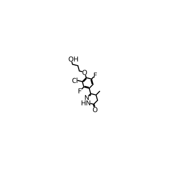 CC1CC(=O)NN=C1c1cc(F)c(OCCCO)c(Cl)c1F